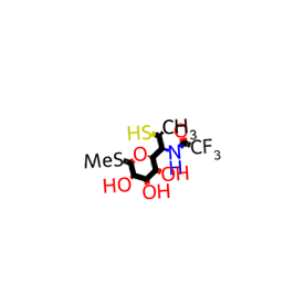 CSC1O[C@H]([C@H](NC(=O)C(F)(F)F)[C@H](C)S)C(O)C(O)[C@H]1O